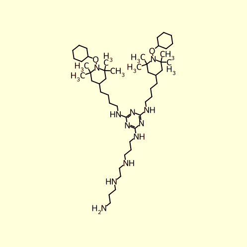 CC1(C)CC(CCCCNc2nc(NCCCCC3CC(C)(C)N(OC4CCCCC4)C(C)(C)C3)nc(NCCCNCCNCCCN)n2)CC(C)(C)N1OC1CCCCC1